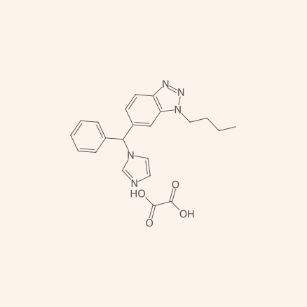 CCCCn1nnc2ccc(C(c3ccccc3)n3ccnc3)cc21.O=C(O)C(=O)O